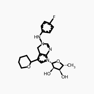 C[C@H]1O[C@@H](n2cc(C3CCCCO3)c3c2N=CN(Nc2ccc(F)cc2)C3)[C@H](O)[C@@H]1O